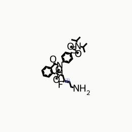 CC(C)N(C(C)C)S(=O)(=O)c1ccc(NC(=O)c2ccccc2S(=O)(=O)C/C(F)=C/CN)cc1